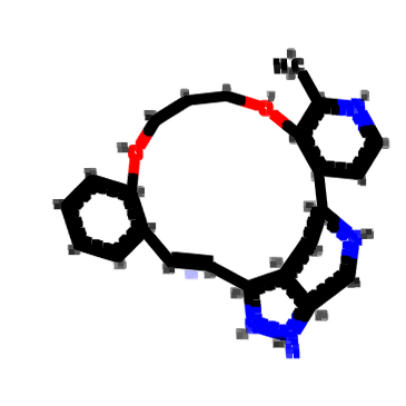 Cc1nccc2c1OCCCOc1ccccc1/C=C/c1n[nH]c3cnc-2cc13